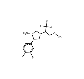 COCC(N1C[C@@H](N)[C@H](c2ccc(F)c(F)c2)C1)C(F)(F)F